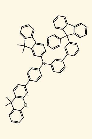 CC1(C)c2ccccc2Oc2cc(-c3ccc(N(c4cccc(-c5cccc(C6(c7ccccc7)c7ccccc7-c7ccccc76)c5)c4)c4ccc5c(c4)C(C)(C)c4ccccc4-5)cc3)ccc21